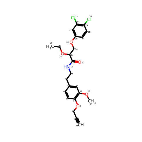 C#CCOc1ccc(CCNC(=O)C(COc2ccc(Cl)c(Cl)c2)OCC)cc1OC